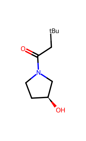 CC(C)(C)CC(=O)N1CC[C@H](O)C1